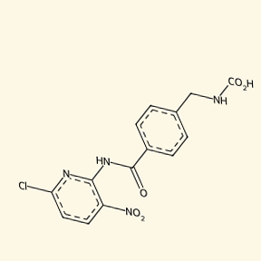 O=C(O)NCc1ccc(C(=O)Nc2nc(Cl)ccc2[N+](=O)[O-])cc1